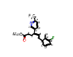 COC(=O)CC/C(=C\Cc1cccc(F)c1C)c1ccc(C(F)(F)F)nc1